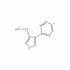 CCCOc1[c]scc1-c1ccccc1